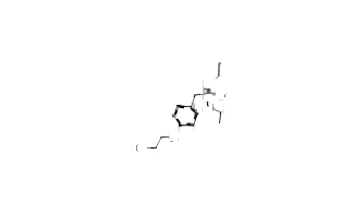 CCOP(=O)(Cc1ccc(OCCO)cc1)OCC